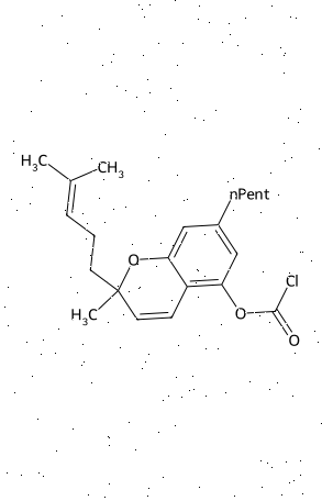 CCCCCc1cc(OC(=O)Cl)c2c(c1)OC(C)(CCC=C(C)C)C=C2